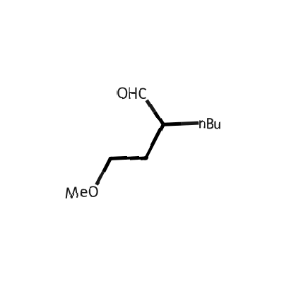 CCCCC(C=O)CCOC